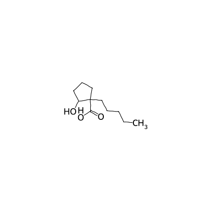 CCCCCC1(C(=O)O)CCCC1O